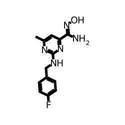 Cc1cc(C(N)=NO)nc(NCc2ccc(F)cc2)n1